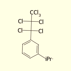 C[C](C)c1cccc(C(Cl)(Cl)C(Cl)(Cl)C(Cl)(Cl)Cl)c1